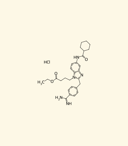 CCOC(=O)CCCn1c(Cc2ccc(C(=N)N)cc2)nc2cc(NC(=O)C3CCCCC3)ccc21.Cl